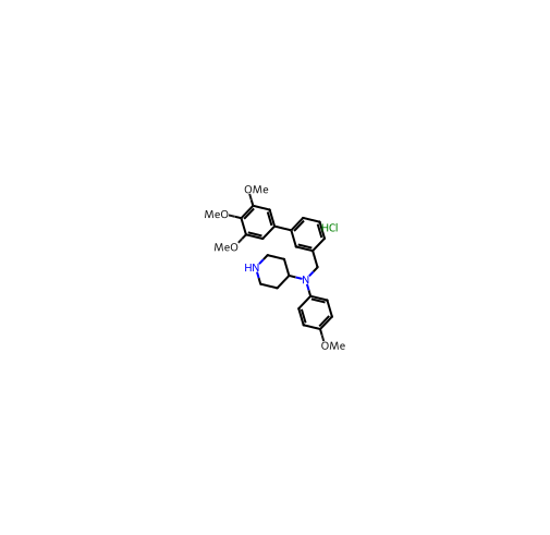 COc1ccc(N(Cc2cccc(-c3cc(OC)c(OC)c(OC)c3)c2)C2CCNCC2)cc1.Cl